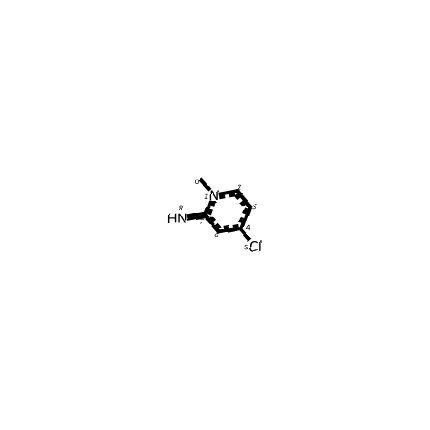 Cn1ccc(Cl)cc1=N